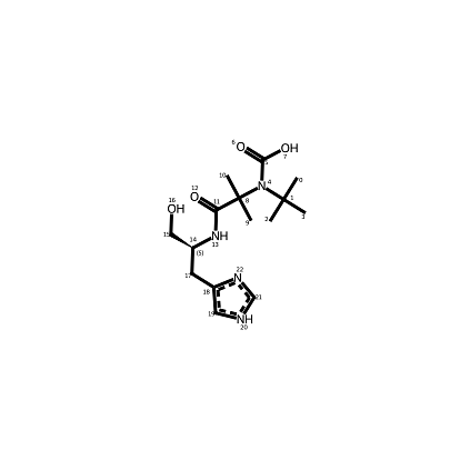 CC(C)(C)N(C(=O)O)C(C)(C)C(=O)N[C@H](CO)Cc1c[nH]cn1